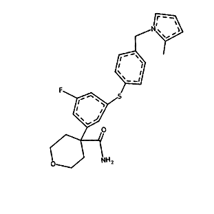 Cc1cccn1Cc1ccc(Sc2cc(F)cc(C3(C(N)=O)CCOCC3)c2)cc1